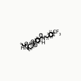 C=CC(=O)NC1(C)CCN(S(=O)(=O)c2ccc(C(=O)NCCc3ccc(C(F)(F)F)cc3)cc2)CC1